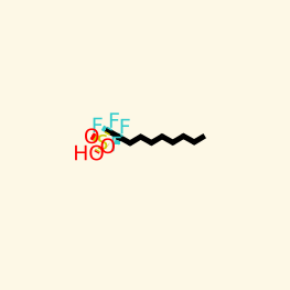 CCCCCCCCC(F)(F)C(F)(F)S(=O)(=O)O